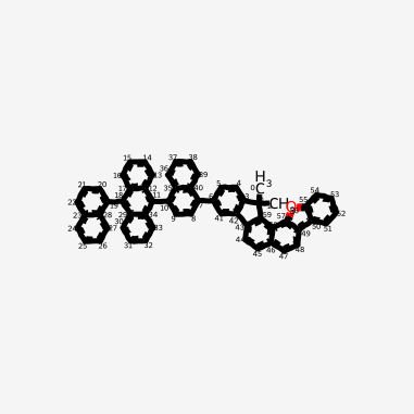 CC1(C)c2ccc(-c3ccc(-c4c5ccccc5c(-c5cccc6ccccc56)c5ccccc45)c4ccccc34)cc2-c2ccc3ccc4c5ccccc5oc4c3c21